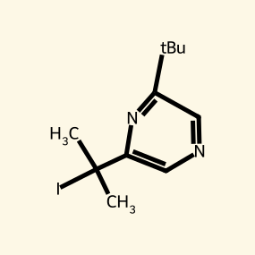 CC(C)(C)c1cncc(C(C)(C)I)n1